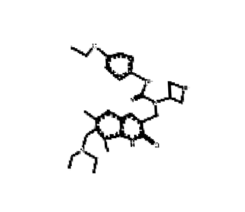 CCOc1ccc(NC(=S)N(Cc2cc3cc(C)c(CN(CC)CC)c(C)c3[nH]c2=O)C2CNC2)cc1